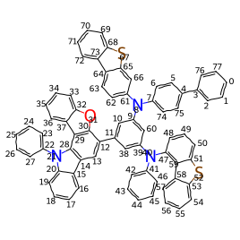 c1ccc(-c2ccc(N(c3cc(-c4cc5c6ccccc6n(-c6ccccc6)c5c5c4oc4ccccc45)cc(N(c4ccccc4)c4cccc5sc6ccccc6c45)c3)c3ccc4c(c3)sc3ccccc34)cc2)cc1